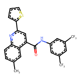 Cc1ccc2nc(-c3cccs3)cc(C(=O)Nc3cc(C(F)(F)F)cc(C(F)(F)F)c3)c2c1